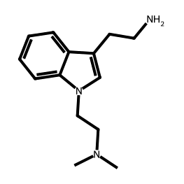 CN(C)CCn1cc(CCN)c2ccccc21